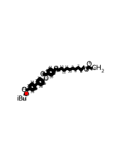 C=CC(=O)OCCCCCCCCCCOc1ccc(C(=O)Oc2ccc(-c3ccc(C(=O)OCC(C)CC)cc3)cc2)cc1